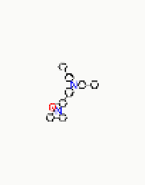 Cc1cc(-c2ccc(N(c3ccc(-c4ccccc4)cc3)c3ccc(-c4ccccc4)cc3)cc2)ccc1-n1c(=O)c2ccccc2c2ccccc21